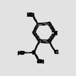 OB(O)c1cc(O)cnc1Cl